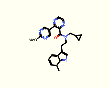 COc1ncc(-c2nccnc2C(=O)N(CCC2=CN=C3C2=CC=CC3C)CC2CC2)cn1